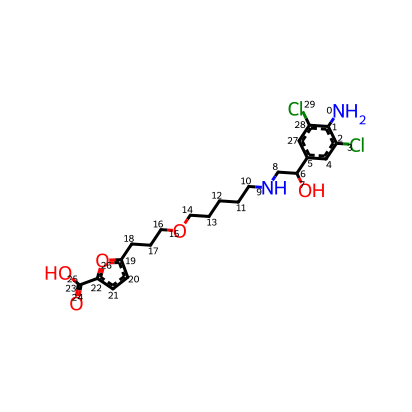 Nc1c(Cl)cc(C(O)CNCCCCCOCCCc2ccc(C(=O)O)o2)cc1Cl